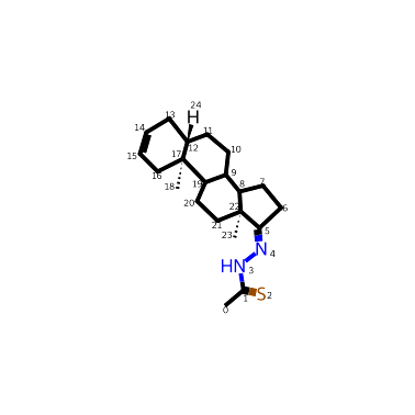 CC(=S)N/N=C1/CCC2C3CC[C@H]4CC=CC[C@]4(C)C3CC[C@]12C